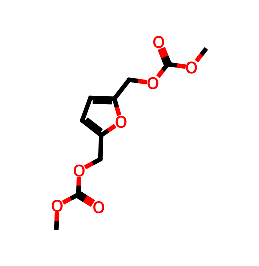 COC(=O)OCc1ccc(COC(=O)OC)o1